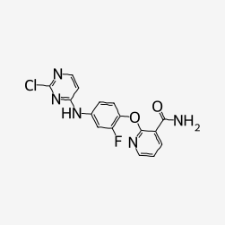 NC(=O)c1cccnc1Oc1ccc(Nc2ccnc(Cl)n2)cc1F